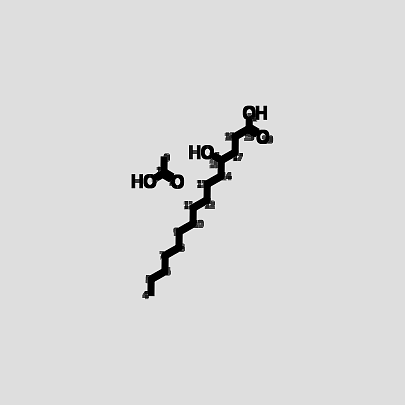 CC(=O)O.CCCCCCCCCCCC(O)CCC(=O)O